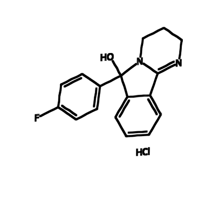 Cl.OC1(c2ccc(F)cc2)c2ccccc2C2=NCCCN21